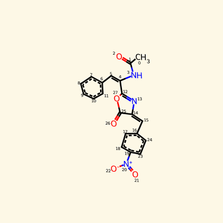 CC(=O)N/C(=C/c1ccccc1)C1=N/C(=C/c2ccc([N+](=O)[O-])cc2)C(=O)O1